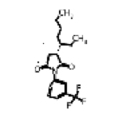 CCCCC(CC)[C@H]1CC(=O)N(c2cccc(C(F)(F)F)c2)C1=O